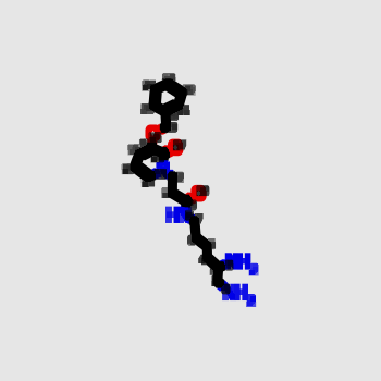 NCC(N)CCCCNC(=O)CCn1cccc(OCc2ccccc2)c1=O